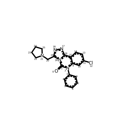 O=c1n(-c2ccccc2)c2cc(Cl)ccc2c2nnc(CN3CCCC3)n12